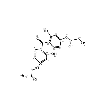 O=C(O)COc1ccc(C(=O)c2ccc(OC(O)CO)cc2O)c(O)c1